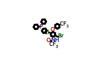 O=C(Nc1cc(Cl)c(Oc2ccc(C(F)(F)F)cc2)cc1CBr)C(F)(F)F.c1ccc(P(c2ccccc2)c2ccccc2)cc1